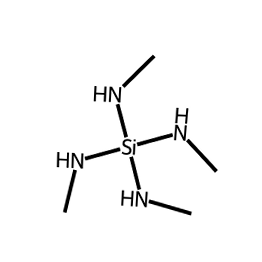 CN[Si](NC)(NC)NC